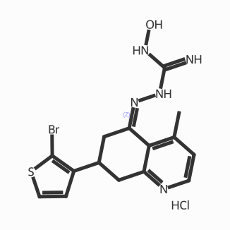 Cc1ccnc2c1/C(=N\NC(=N)NO)CC(c1ccsc1Br)C2.Cl